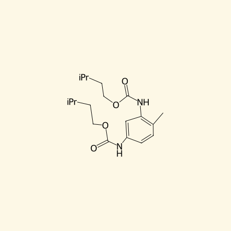 Cc1ccc(NC(=O)OCCC(C)C)cc1NC(=O)OCCC(C)C